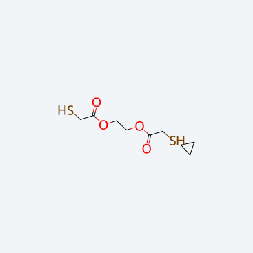 C1CC1.O=C(CS)OCCOC(=O)CS